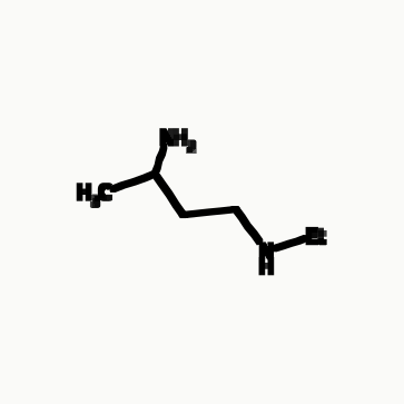 CCNCCC(C)N